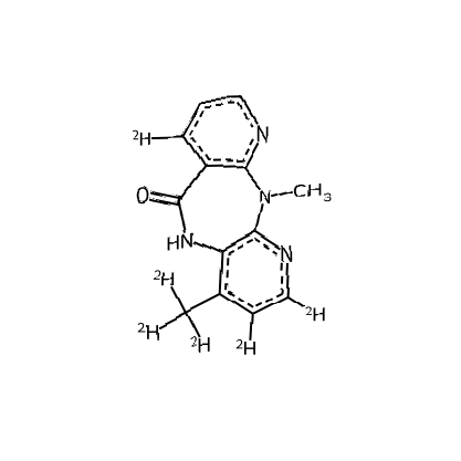 [2H]c1ccnc2c1C(=O)Nc1c(nc([2H])c([2H])c1C([2H])([2H])[2H])N2C